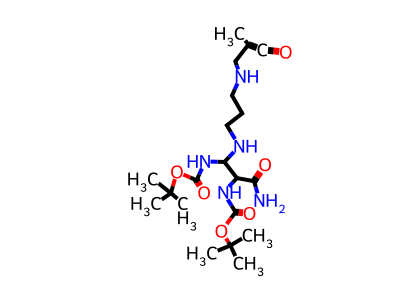 CC(=C=O)CNCCCNC(NC(=O)OC(C)(C)C)C(NC(=O)OC(C)(C)C)C(N)=O